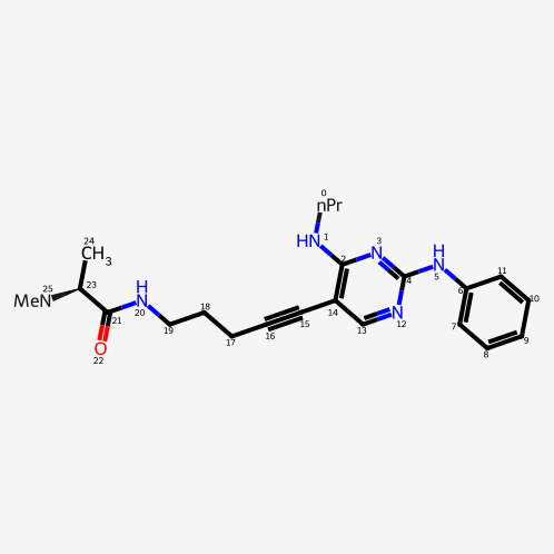 CCCNc1nc(Nc2ccccc2)ncc1C#CCCCNC(=O)[C@H](C)NC